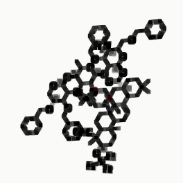 CC[Si](CC)(CC)O[C@H]1CCC2(C)C(CCC3(C)C2CC=C2C4CC(C)(C)CC[C@]4(C(=O)O[C@@H]4OC(COCc5ccccc5)[C@H](N)C(OCc5ccccc5)C4O[C@@H]4OC(C)[C@H](O[C@@H]5OC[C@@H](OCc6ccccc6)C(OCc6ccccc6)C5OCc5ccccc5)C5OC(C)(C)OC54)CCC23C)C1(C)C=O